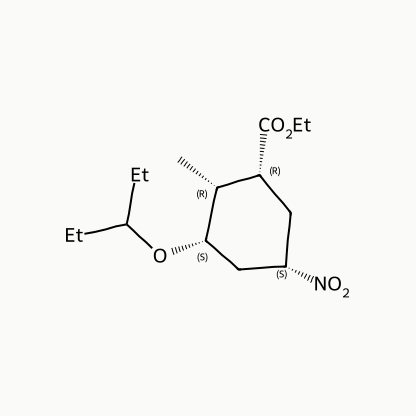 CCOC(=O)[C@@H]1C[C@H]([N+](=O)[O-])C[C@H](OC(CC)CC)[C@@H]1C